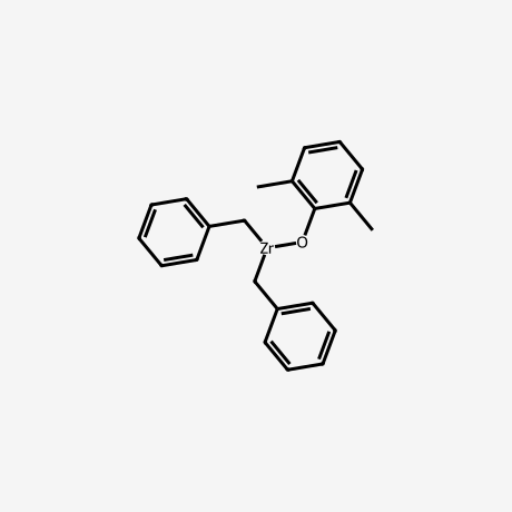 Cc1cccc(C)c1[O][Zr]([CH2]c1ccccc1)[CH2]c1ccccc1